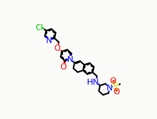 CS(=O)(=O)N1CCCC(NCc2ccc3c(c2)CCC(n2ccc(OCc4ccc(Cl)cn4)cc2=O)=C3)C1